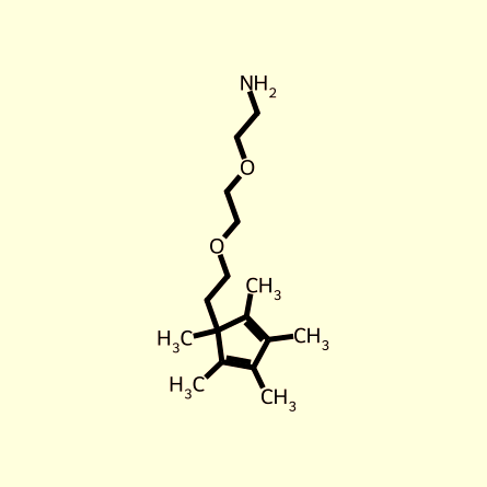 CC1=C(C)C(C)(CCOCCOCCN)C(C)=C1C